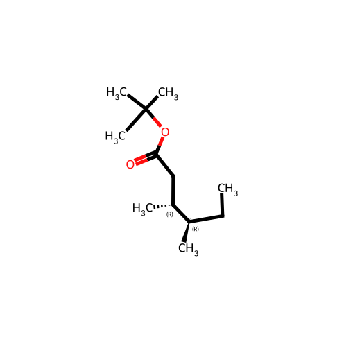 CC[C@@H](C)[C@H](C)CC(=O)OC(C)(C)C